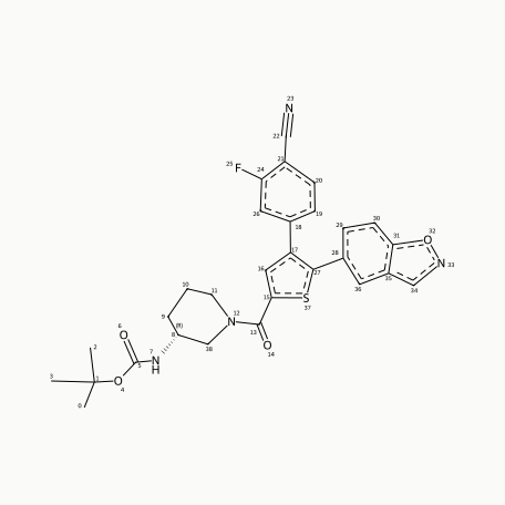 CC(C)(C)OC(=O)N[C@@H]1CCCN(C(=O)c2cc(-c3ccc(C#N)c(F)c3)c(-c3ccc4oncc4c3)s2)C1